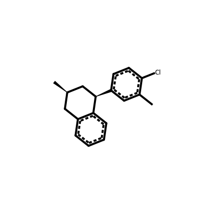 Cc1cc([C@@H]2C[C@H](C)Cc3ccccc32)ccc1Cl